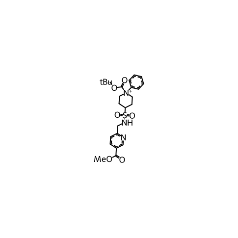 COC(=O)c1ccc(CNS(=O)(=O)C2CC[N+](C(=O)OC(C)(C)C)(c3ccccc3)CC2)nc1